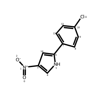 O=[N+]([O-])c1c[nH]c(-c2ccc(Cl)cc2)c1